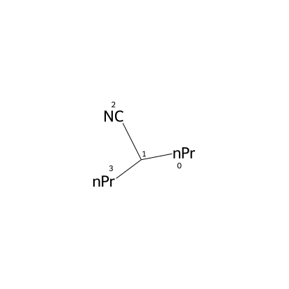 CCCC(C#N)CCC